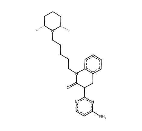 C[C@@H]1CCC[C@H](C)N1CCCCCN1C(=O)C(c2nccc(N)n2)Cc2ccccc21